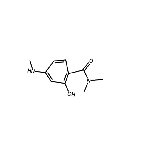 CNc1ccc(C(=O)N(C)C)c(O)c1